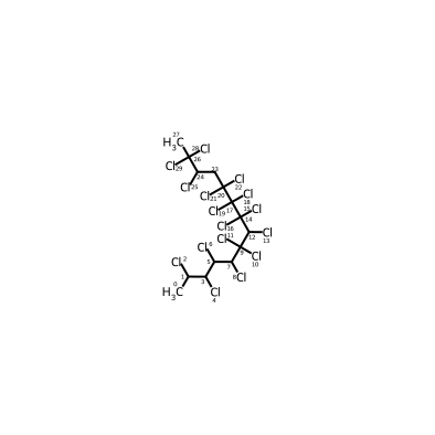 CC(Cl)C(Cl)C(Cl)C(Cl)C(Cl)(Cl)C(Cl)C(Cl)(Cl)C(Cl)(Cl)C(Cl)(Cl)CC(Cl)C(C)(Cl)Cl